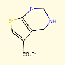 CCOC(=O)c1csc2c1CNC=N2